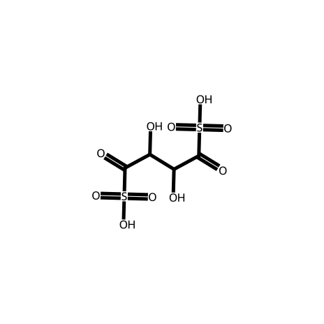 O=C(C(O)C(O)C(=O)S(=O)(=O)O)S(=O)(=O)O